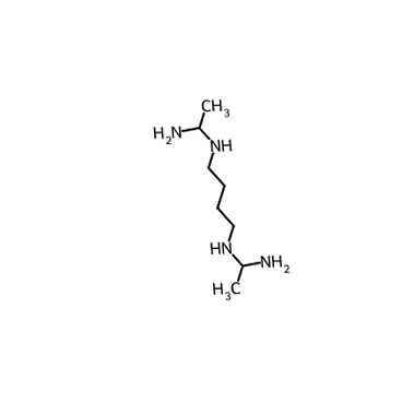 CC(N)NCCCCNC(C)N